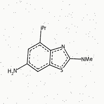 CNc1nc2c(C(C)C)cc(N)cc2s1